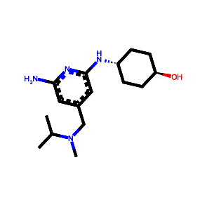 CC(C)N(C)Cc1cc(N)nc(N[C@H]2CC[C@H](O)CC2)c1